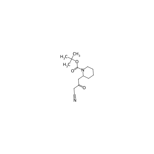 CC(C)(C)OC(=O)N1CCCCC1CC(=O)CC#N